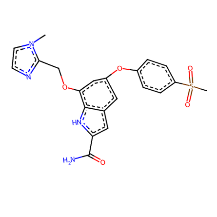 Cn1ccnc1COc1cc(Oc2ccc(S(C)(=O)=O)cc2)cc2cc(C(N)=O)[nH]c12